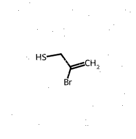 C=C(Br)CS